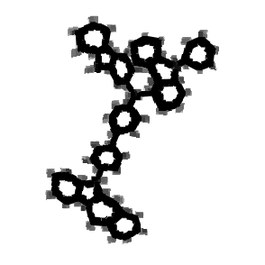 c1ccc(-n2c3ccccc3c3c(N(c4ccc(-c5ccc(-n6c7ccccc7c7cc8ccccc8cc76)cc5)cc4)c4ccc5c(c4)sc4ccccc45)cccc32)cc1